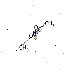 CCCCCCCOC(=O)/N=N/C(=O)OCCCC